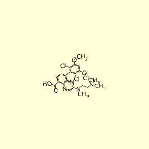 COc1cc(OC)c(Cl)c(-c2ccc(C(=O)O)c3ncc(N(C)CCN(C)C)nc23)c1Cl